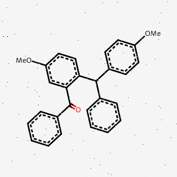 COc1ccc([C](c2ccccc2)c2ccc(OC)cc2C(=O)c2ccccc2)cc1